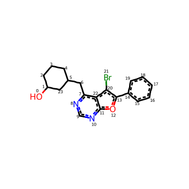 OC1CCCC(Cc2ncnc3oc(-c4ccccc4)c(Br)c23)C1